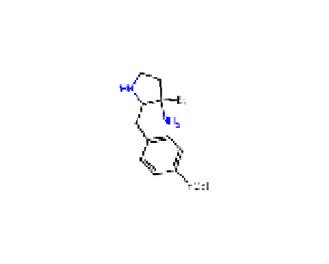 CCCCCCCCc1ccc(CC2NCCC2(N)CC)cc1